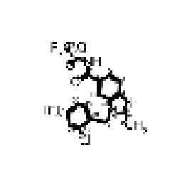 Cc1nc2ccc(C(=O)NS(=O)(=O)C(F)(F)F)cc2n1Cc1ccccc1Cl.Cl